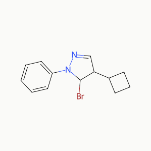 BrC1C(C2CCC2)C=NN1c1ccccc1